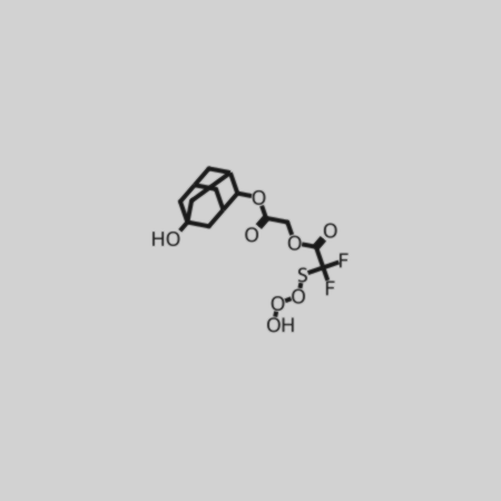 O=C(COC(=O)C(F)(F)SOOO)OC1C2CC3CC1CC(O)(C3)C2